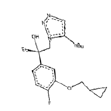 CCCCc1cnnn1C[C@](O)(CC)c1ccc(F)c(OCC2CC2)c1